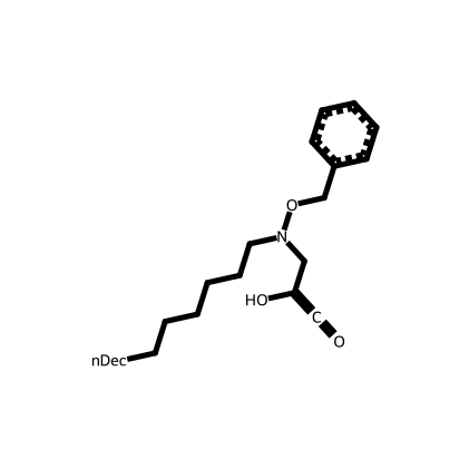 CCCCCCCCCCCCCCCCN(CC(O)=C=O)OCc1ccccc1